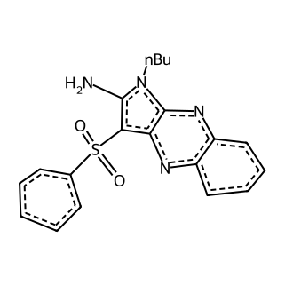 CCCCn1c(N)c(S(=O)(=O)c2ccccc2)c2nc3ccccc3nc21